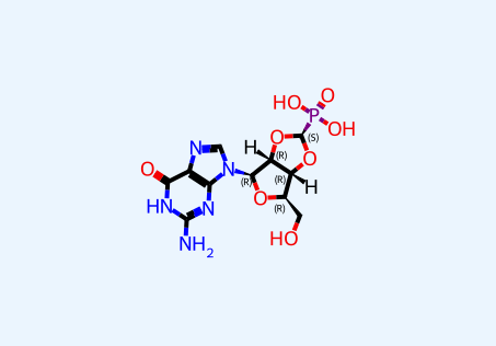 Nc1nc2c(ncn2[C@@H]2O[C@H](CO)[C@H]3O[C@H](P(=O)(O)O)O[C@H]32)c(=O)[nH]1